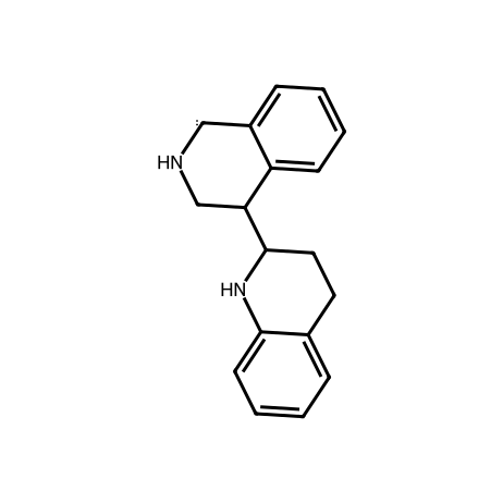 [C]1NCC(C2CCc3ccccc3N2)c2ccccc21